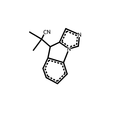 CC(C)(C#N)C1c2ccccc2-n2cncc21